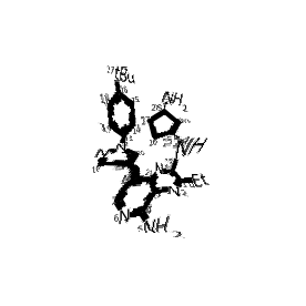 CCc1nc2c(N)ncc(-c3cnn(-c4ccc(C(C)(C)C)cc4)c3)c2nc1N[C@@H]1CC[C@H](N)C1